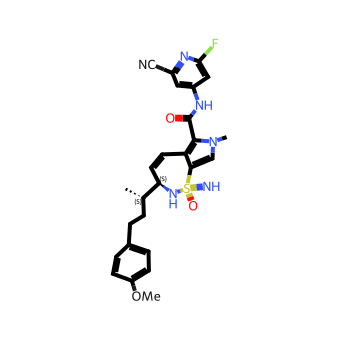 COc1ccc(CC[C@H](C)[C@H]2C=Cc3c(cn(C)c3C(=O)Nc3cc(F)nc(C#N)c3)S(=N)(=O)N2)cc1